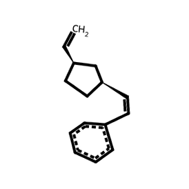 C=C[C@@H]1CC[C@H](/C=C\c2ccccc2)C1